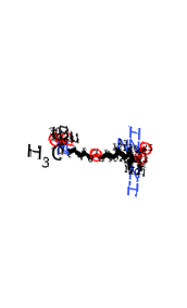 CN(CCCCCOC/C=C/c1cnc2c(c1)C1(CCNCC1)OC(=O)N2)C(=O)OC(C)(C)C